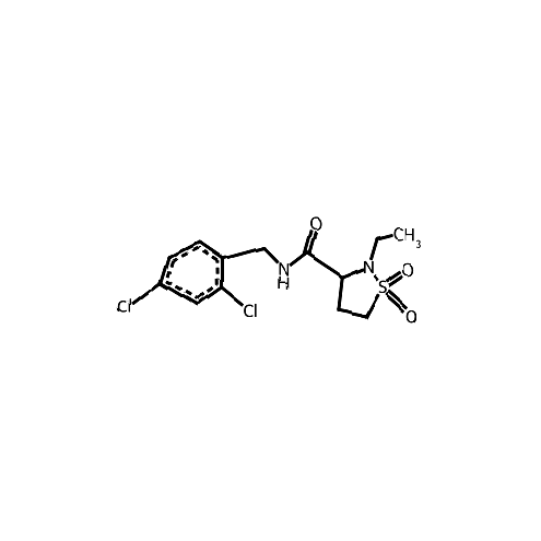 CCN1C(C(=O)NCc2ccc(Cl)cc2Cl)CCS1(=O)=O